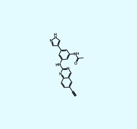 C#Cc1ccc2nc(Nc3cc(NC(C)=O)cc(-c4cn[nH]c4)c3)ncc2c1